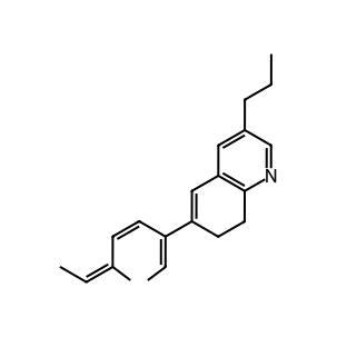 C\C=C(C)/C=C\C(=C/C)C1=Cc2cc(CCC)cnc2CC1